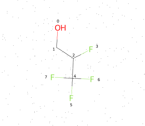 OCC(F)C(F)(F)F